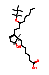 CCCCCC(CCC1=CC[C@H](O)[C@]1(C)CCCCCCC(=O)O)O[Si](C)(C)C(C)(C)C